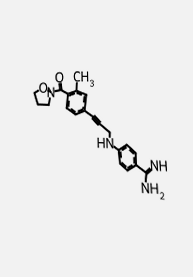 Cc1cc(C#CCNc2ccc(C(=N)N)cc2)ccc1C(=O)N1CCCO1